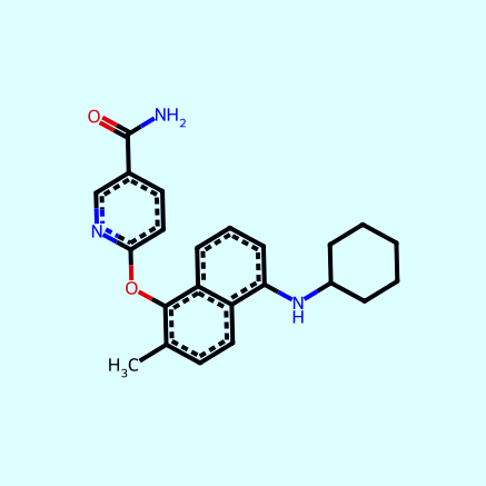 Cc1ccc2c(NC3CCCCC3)cccc2c1Oc1ccc(C(N)=O)cn1